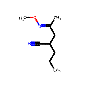 CCCC(C#N)CC(C)=NOC